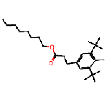 CCCCCCCCOC(=O)CCc1cc(C(C)(C)C)c(C)c(C(C)(C)C)c1